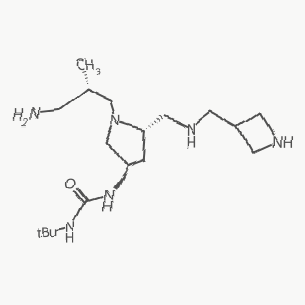 C[C@@H](CN)CN1C[C@H](NC(=O)NC(C)(C)C)C[C@H]1CNCC1CNC1